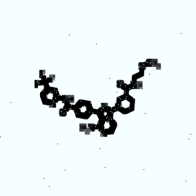 COCCNC(=O)C1CCCN(c2nc(-c3ccc(C(=O)Nc4cc(C(F)(F)F)ccn4)cc3)c3c(N)nccn23)C1